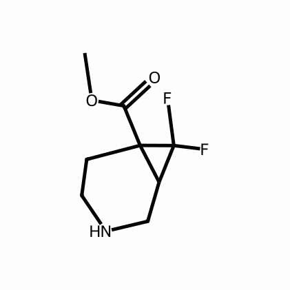 COC(=O)C12CCNCC1C2(F)F